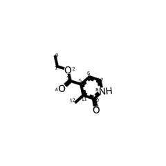 CCOC(=O)c1cc[nH]c(=O)c1C